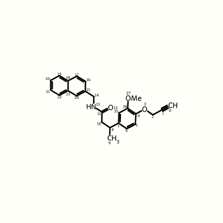 C#CCOc1ccc(C(C)CC(=O)NCc2ccc3ccccc3c2)cc1OC